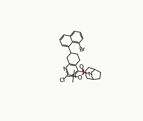 CC(C)(C)OC(=O)N1C2CCC1CN(c1nc(Cl)nc3c1CCC(c1cccc4cccc(Br)c14)C3)C2